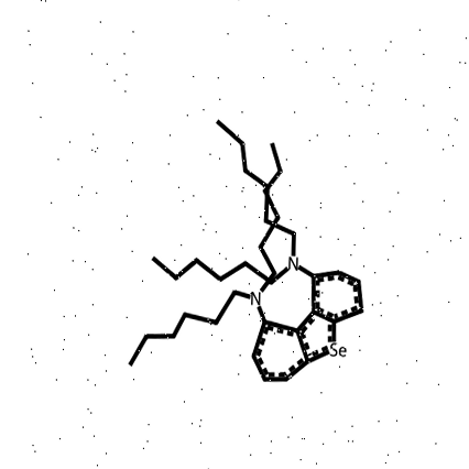 CCCCCCN(CCCCCC)c1cccc2[se]c3cccc(N(CCCCCC)CCCCCC)c3c12